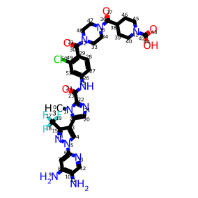 Cn1c(-c2cn(-c3cc(N)c(N)cn3)nc2C(F)(F)F)cnc1C(=O)Nc1ccc(C(=O)N2CCN(C(=O)C3CCN(C(=O)O)CC3)CC2)c(Cl)c1